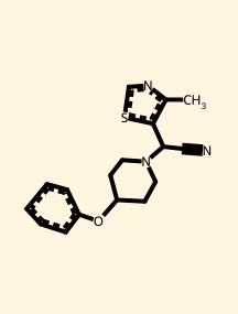 Cc1ncsc1C(C#N)N1CCC(Oc2ccccc2)CC1